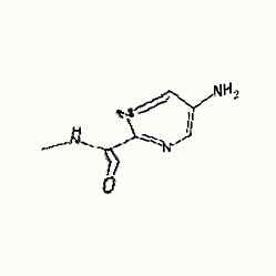 CNC(=O)c1ncc(N)cn1